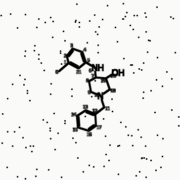 Cc1cccc(NC2CCN(Cc3ccccc3)CC2O)c1